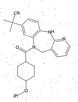 CC(C)OC1CCC(C(=O)N2Cc3cccnc3Nc3ccc(C(C)(C)C#N)cc32)CC1